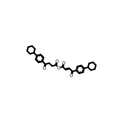 O=C(C=CC(=O)c1ccc(C2CCCCC2)cc1)OC(=O)CCC(=O)c1ccc(C2CCCCC2)cc1